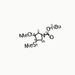 CCCCOC(=O)N1CC(OC)C(SC)C1